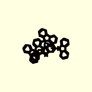 CC1(c2cccc(C3(C)c4ccccc4-c4ccccc43)c2-n2c(-c3ccccc3)nc3cc(-n4c5ccccc5c5ccccc54)ccc32)c2ccccc2-c2ccccc21